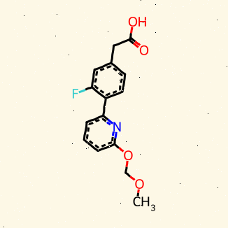 COCOc1cccc(-c2ccc(CC(=O)O)cc2F)n1